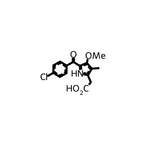 COc1c(C(=O)c2ccc(Cl)cc2)[nH]c(CC(=O)O)c1C